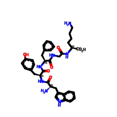 NCCCC[C@H](NC(=O)CNC(=O)[C@H](Cc1ccccc1)NC(=O)[C@H](Cc1ccc(O)cc1)NC(=O)[C@@H](N)Cc1c[nH]c2ccccc12)C(=O)O